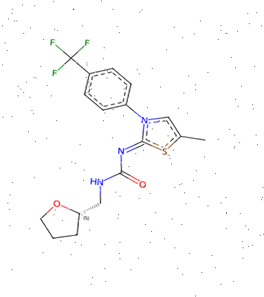 Cc1cn(-c2ccc(C(F)(F)F)cc2)c(=NC(=O)NC[C@@H]2CCCO2)s1